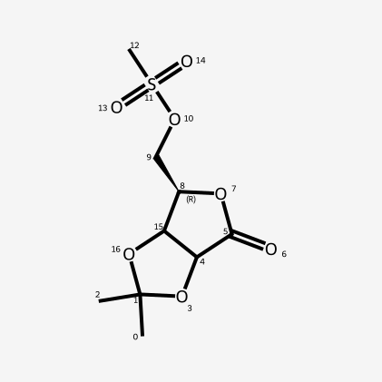 CC1(C)OC2C(=O)O[C@H](COS(C)(=O)=O)C2O1